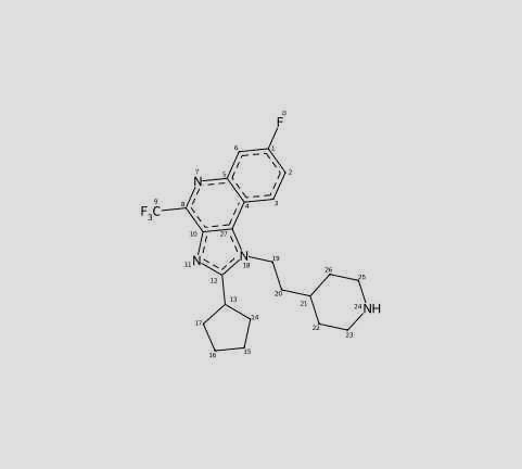 Fc1ccc2c(c1)nc(C(F)(F)F)c1nc(C3CCCC3)n(CCC3CCNCC3)c12